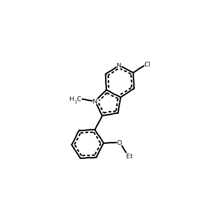 CCOc1ccccc1-c1cc2cc(Cl)ncc2n1C